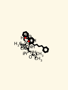 CC(C)[C@H](NC(=O)N(C)C)C(=O)N[C@@](C)(CCCCCc1ccccc1)[C@](O)(C(=O)NN)N(Cc1ccccc1-c1ccccc1)C(=O)N(C)C